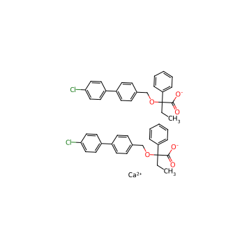 CCC(OCc1ccc(-c2ccc(Cl)cc2)cc1)(C(=O)[O-])c1ccccc1.CCC(OCc1ccc(-c2ccc(Cl)cc2)cc1)(C(=O)[O-])c1ccccc1.[Ca+2]